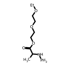 CCOCCOCCOC(=O)C(C)NP